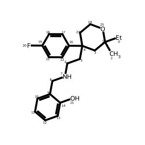 CCC1(C)CC(CCNCc2ccccc2O)(c2ccc(F)cc2)CCO1